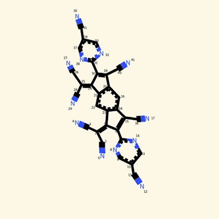 N#CC(C#N)=C1C(c2ncc(C#N)cn2)=C(C#N)c2cc3c(cc21)C(=C(C#N)C#N)C(c1ncc(C#N)cn1)=C3C#N